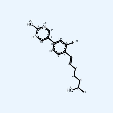 CC(O)CCC/C=C/c1ccc(-c2cnc(O)nc2)cc1F